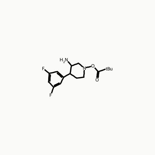 CC(C)(C)C(=O)ON1CCC(c2cc(F)cc(F)c2)C(N)C1